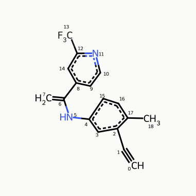 C#Cc1cc(NC(=C)c2ccnc(C(F)(F)F)c2)ccc1C